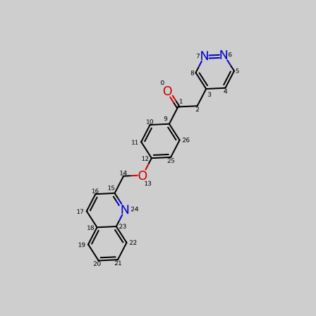 O=C(Cc1ccnnc1)c1ccc(OCc2ccc3ccccc3n2)cc1